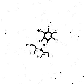 OC[C@@H](O)[C@H](O)[C@@H](O)CO.Oc1c(Cl)c(Cl)c(Cl)c(Cl)c1Cl